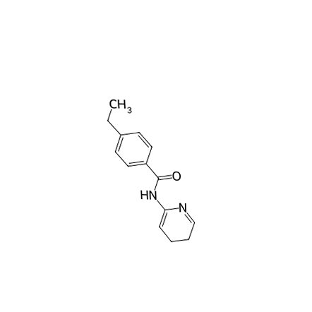 CCc1ccc(C(=O)NC2=CCCC=N2)cc1